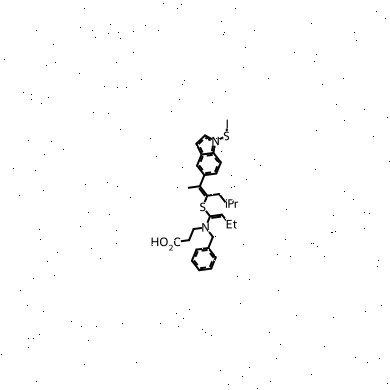 CC/C=C(/S/C(CC(C)C)=C(\C)c1ccc2c(ccn2SI)c1)N(CCC(=O)O)Cc1ccccc1